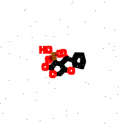 O=C1COC(=O)C(S(=O)(=O)O)C1C(=O)c1ccccc1